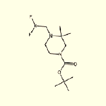 CC(C)(C)OC(=O)N1CCN(CB(F)F)C(C)(C)C1